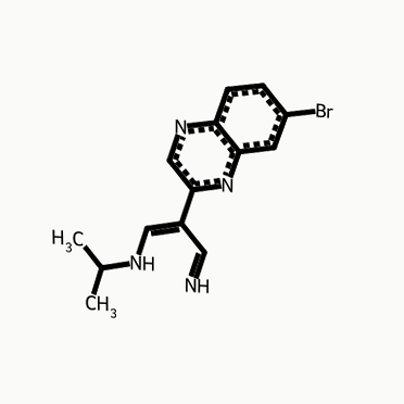 CC(C)N/C=C(\C=N)c1cnc2ccc(Br)cc2n1